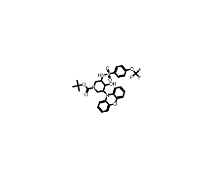 CC(C)(C)OC(=O)N1CC(NS(=O)(=O)c2ccc(OC(F)(F)F)cc2)C(O)C(N2c3ccccc3Oc3ccccc32)C1